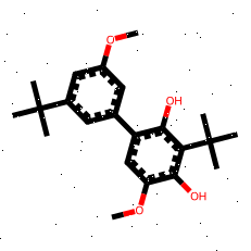 COc1cc(-c2cc(OC)c(O)c(C(C)(C)C)c2O)cc(C(C)(C)C)c1